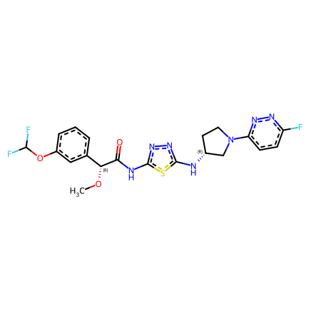 CO[C@@H](C(=O)Nc1nnc(N[C@@H]2CCN(c3ccc(F)nn3)C2)s1)c1cccc(OC(F)F)c1